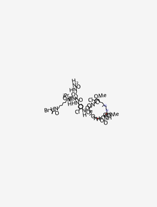 C=C(CBr)C(=O)NCCCCCC(=O)N[C@H](C(=O)N[C@@H](CCCNC(N)=O)C(=O)Nc1ccc(NC(=O)O[C@H]2CC(=O)N(C)c3cc(cc(OC)c3Cl)C/C(C)=C/C=C/[C@@H](OC)[C@@]3(O)C[C@H](OC(=O)N3)[C@@H](C)[C@@H](C)OC2C)c(Cl)c1)C(C)C